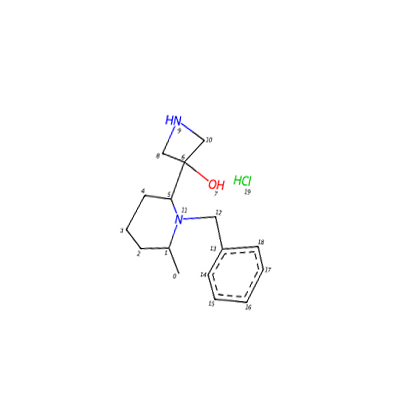 CC1CCCC(C2(O)CNC2)N1Cc1ccccc1.Cl